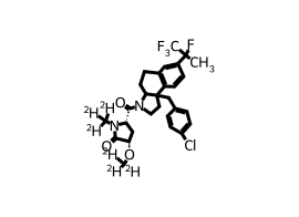 [2H]C([2H])([2H])O[C@H]1C[C@@H](C(=O)N2CCC3(Cc4ccc(Cl)cc4)c4ccc(C(C)(F)C(F)(F)F)cc4CCC23)N(C([2H])([2H])[2H])C1=O